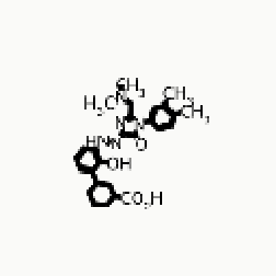 Cc1ccc(N2C(=O)C(=NNc3cccc(C4CCCC(C(=O)O)C4)c3O)N=C2CN(C)C)cc1C